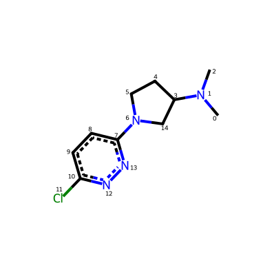 CN(C)C1CCN(c2ccc(Cl)nn2)C1